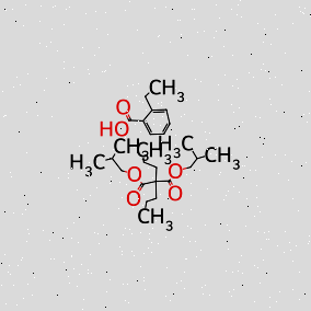 CCCC(CCC)(C(=O)OCC(C)C)C(=O)OCC(C)C.CCc1ccccc1C(=O)O